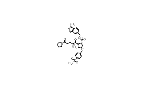 Cn1nnc2cc(CNC(=O)[C@@H]3C[C@@H](Cc4ccc(S(C)(=O)=O)cc4)CN3C(=O)[C@H](N)CCC(=O)N3CCCC3)ccc21